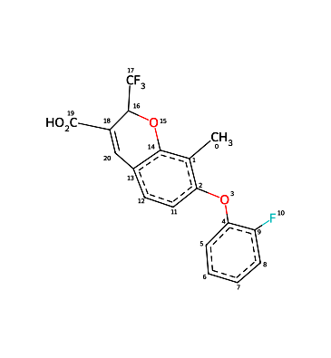 Cc1c(Oc2ccccc2F)ccc2c1OC(C(F)(F)F)C(C(=O)O)=C2